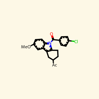 COc1ccc2c(c1)c1c(n2C(=O)c2ccc(Cl)cc2)CCC(C(C)=O)C1